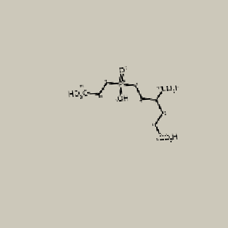 O=C(O)CCC(CCP(=O)(O)CCC(=O)O)C(=O)O